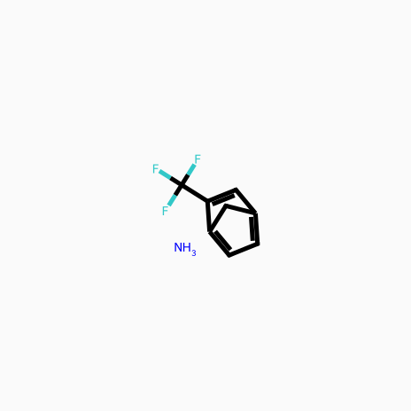 FC(F)(F)C1=CC2=CC=C1C2.N